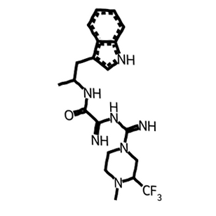 CC(Cc1c[nH]c2ccccc12)NC(=O)C(=N)NC(=N)N1CCN(C)C(C(F)(F)F)C1